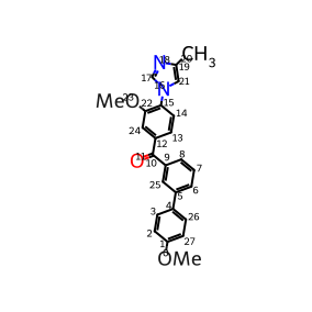 COc1ccc(-c2cccc(C(=O)c3ccc(-n4cnc(C)c4)c(OC)c3)c2)cc1